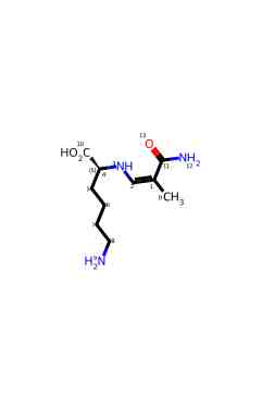 CC(=CN[C@@H](CCCCN)C(=O)O)C(N)=O